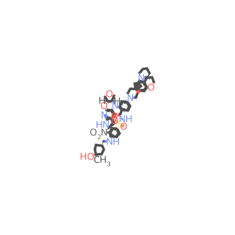 C[C@]1(O)CC[C@H](CNc2ccc(S(=O)(=O)NC(=O)c3ccc(N4CCC5(CC4)CC(N4CCCC[C@]46CCOc4ccccc46)C5)cc3N3c4cc5cc[nH]c5nc4O[C@@H]4COC[C@H]43)cc2[N+](=O)[O-])CC1